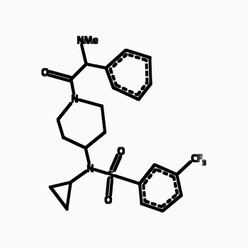 CNC(C(=O)N1CCC(N(C2CC2)S(=O)(=O)c2cccc(C(F)(F)F)c2)CC1)c1ccccc1